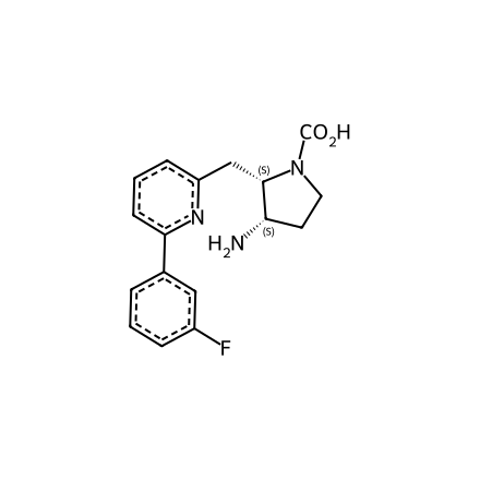 N[C@H]1CCN(C(=O)O)[C@H]1Cc1cccc(-c2cccc(F)c2)n1